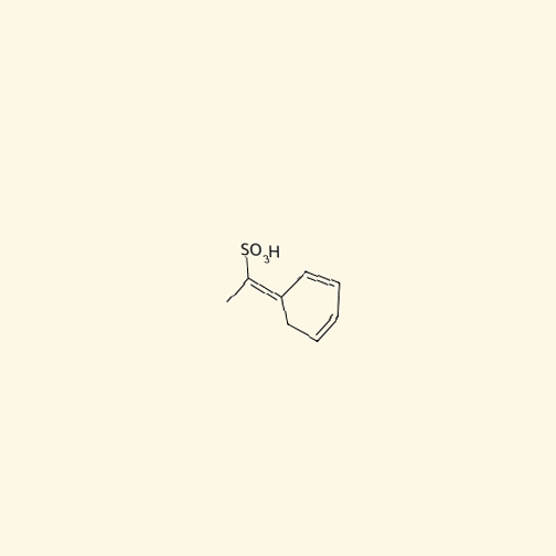 C/C(=C1/C=CC=CC1)S(=O)(=O)O